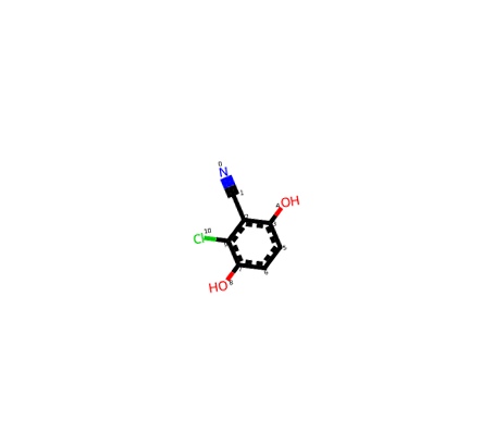 N#Cc1c(O)ccc(O)c1Cl